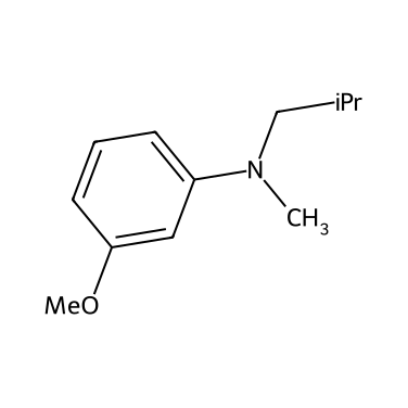 COc1cccc(N(C)CC(C)C)c1